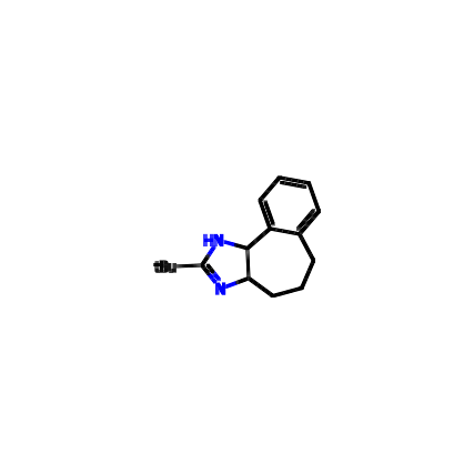 CC(C)(C)C1=NC2CCCc3ccccc3C2N1